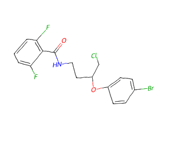 O=C(NCCC(CCl)Oc1ccc(Br)cc1)c1c(F)cccc1F